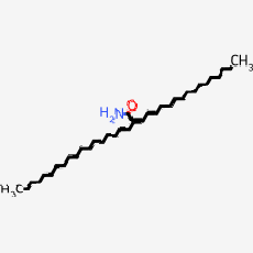 CCCCCCCCCCCCCC=CC=C(C=CCCCCCCCCCCCCCCCC)C(N)=O